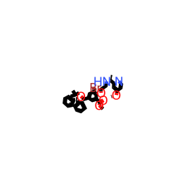 COC(=O)c1cc(CO[Si](c2ccccc2)(c2ccccc2)C(C)(C)C)cc(Br)c1OCCN[C@@H](C)c1cc(OC)ccn1